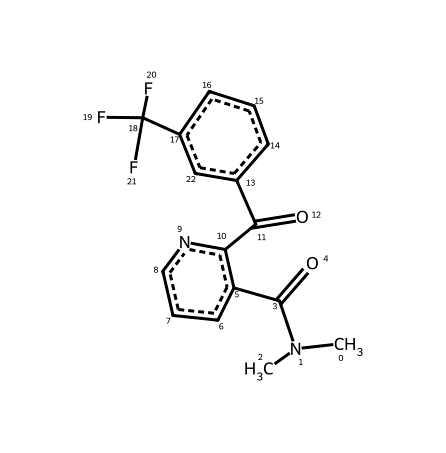 CN(C)C(=O)c1cccnc1C(=O)c1cccc(C(F)(F)F)c1